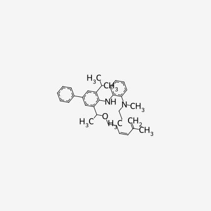 C=C(C)/C=C\CCOC(C)c1cc(-c2ccccc2)cc(C(C)C)c1Nc1ccccc1N(C)CCC